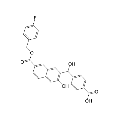 O=C(O)c1ccc(C(O)c2cc3cc(C(=O)OCc4ccc(F)cc4)ccc3cc2O)cc1